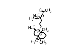 C=CC(C)(CCC[C@H]1C(=C)CC[C@H]2C(C)(C)CCC[C@]12C)OC(C)=O